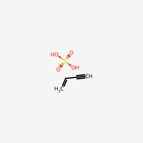 C#CC=C.O=S(=O)(O)O